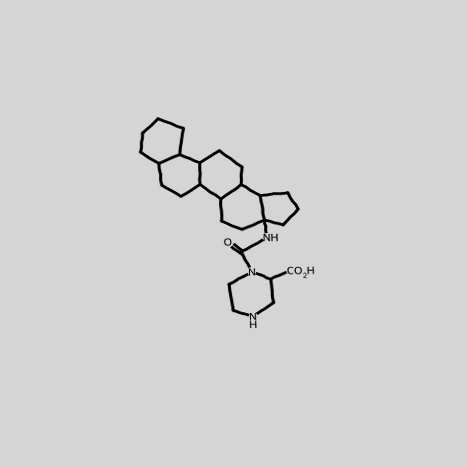 O=C(O)C1CNCCN1C(=O)NC12CCCC1C1CCC3C4CCCCC4CCC3C1CC2